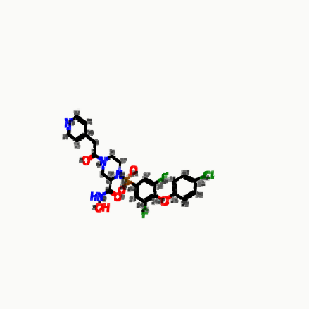 O=C(NO)[C@H]1CN(C(=O)Cc2ccncc2)CCN1S(=O)(=O)c1cc(F)c(Oc2ccc(Cl)cc2)c(F)c1